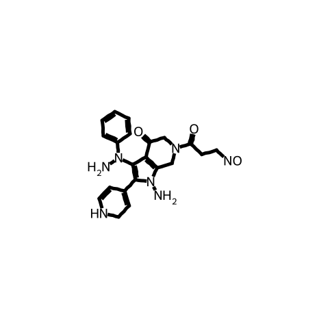 NN(c1ccccc1)c1c2c(n(N)c1C1=CCNC=C1)CN(C(=O)CCN=O)CC2=O